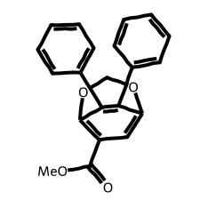 COC(=O)c1cc2c(-c3ccccc3)c(-c3ccccc3)c1OCO2